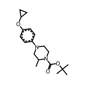 CC1CN(c2ccc(OC3CC3)cc2)CCN1C(=O)OC(C)(C)C